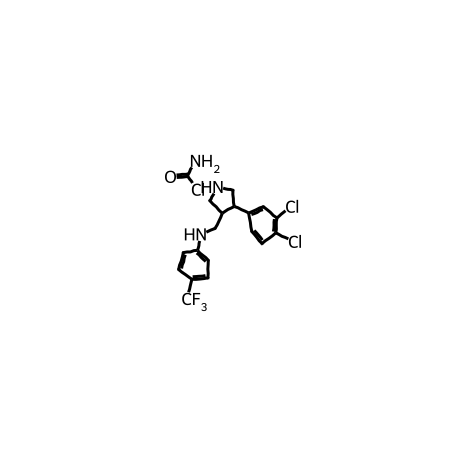 FC(F)(F)c1ccc(NCC2CNCC2c2ccc(Cl)c(Cl)c2)cc1.NC(=O)Cl